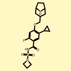 O=C(NS(=O)(=O)N1CCC1)c1cc(C2CC2)c(OCC2CC3CCC(C2)N3)cc1F